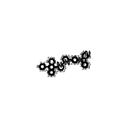 C1=Cc2c(c(-c3ccccc3)c3ccccc3c2C2=CCCC(C3=NC(c4ccc(N5c6ccccc6C6C=NC=CC65)cc4)=CCC3)=N2)CC1